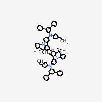 C=Cc1ccc(N(c2cc(-c3ccccc3)cc(-c3ccccc3)c2)c2ccc3c(c2)c2cc(-c4cc5c6c(c4)c4cc(N(c7ccc(C=C)cc7)c7cc(-c8ccccc8)cc(-c8ccccc8)c7)ccc4n6-c4ccccc4C5(C)C)cc4c2n3-c2ccccc2C4(C)C)cc1